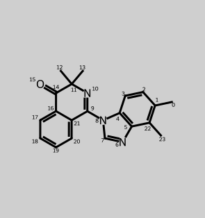 Cc1ccc2c(ncn2C2=NC(C)(C)C(=O)c3ccccc32)c1C